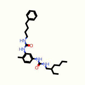 CCCCC(CC)CNC(=O)Nc1ccc(C)c(NC(=O)NCCCCc2ccccc2)c1